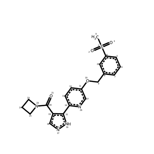 CS(=O)(=O)c1cccc(COc2ccc(-c3[nH]ncc3C(=O)N3CCC3)nc2)c1